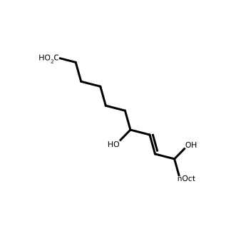 CCCCCCCCC(O)/C=C/C(O)CCCCCC(=O)O